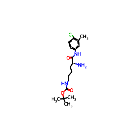 Cc1cc(NC(=O)[C@@H](N)CCCCNC(=O)OC(C)(C)C)ccc1Cl